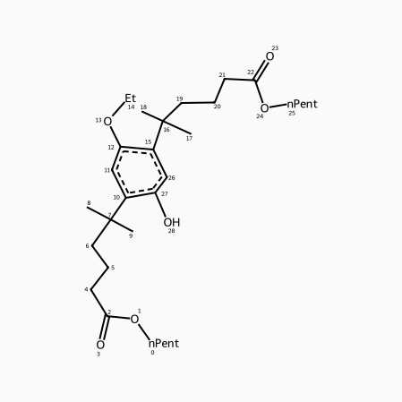 CCCCCOC(=O)CCCC(C)(C)c1cc(OCC)c(C(C)(C)CCCC(=O)OCCCCC)cc1O